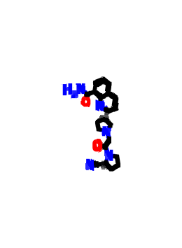 N#C[C@@H]1CCCN1C(=O)CN1CC[C@H](c2ccc3cccc(C(N)=O)c3n2)C1